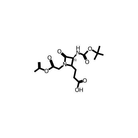 C=C(C)OC(=O)CN1C(=O)[C@@H](NC(=O)OC(C)(C)C)C1CCC(=O)O